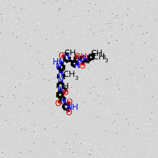 C[C@H]1CN([C@H]2CCN3c4ccc5c(c4OC[C@H]3C2)CN([C@H]2CCC(=O)NC2=O)C5=O)CCN1c1ccc(Nc2cc(-c3ccnc(N4CCn5c(cc6c5CC(C)(C)C6)C4=O)c3CO)cn(C)c2=O)nc1